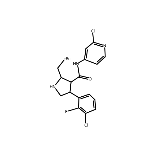 CC(C)(C)CC1NCC(c2cccc(Cl)c2F)C1C(=O)Nc1ccnc(Cl)c1